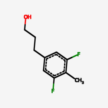 Cc1c(F)cc(CCCO)cc1F